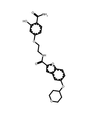 NC(=O)c1ccc(OCCNC(=O)c2cc3cc(OC4CCOCC4)ccc3o2)cc1O